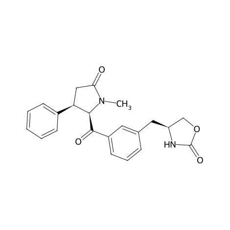 CN1C(=O)C[C@H](c2ccccc2)[C@@H]1C(=O)c1cccc(C[C@H]2COC(=O)N2)c1